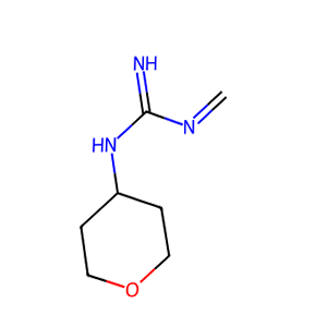 C=NC(=N)NC1CCOCC1